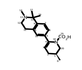 C[C@H]1CC=C(c2ccc3c(c2)CCN(C)C3(C)C)N(C(=O)O)C1